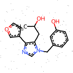 CC(O)Cc1c(-c2ccoc2)ncn1Cc1cccc(O)c1